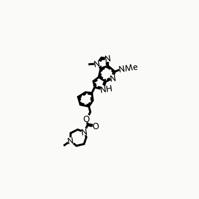 CNc1nc2[nH]c(-c3cccc(COC(=O)N4CCCN(C)CC4)c3)cc2c2c1ncn2C